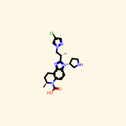 C[C@@H](Cn1cc(Cl)cn1)c1nc2c3c(ccc2n1[C@@H]1CCNC1)N(C(=O)O)[C@@H](C)CC3